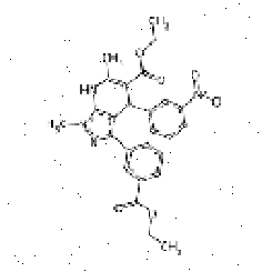 CCOC(=O)C1=C(C)Nc2c(c(-c3cccc(C(=O)OCC)c3)nn2C)C1c1cccc([N+](=O)[O-])c1